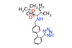 CC(C)C(NCc1ccc(-c2ccccc2-c2nnn[nH]2)cc1)C(=O)OC(C)(C)C